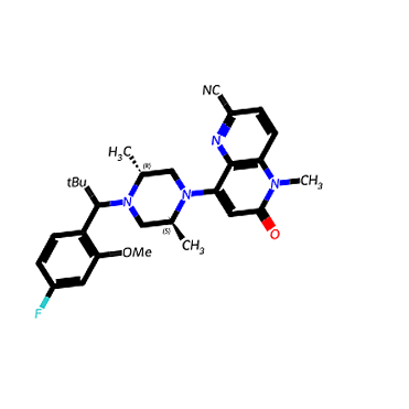 COc1cc(F)ccc1C(N1C[C@H](C)N(c2cc(=O)n(C)c3ccc(C#N)nc23)C[C@H]1C)C(C)(C)C